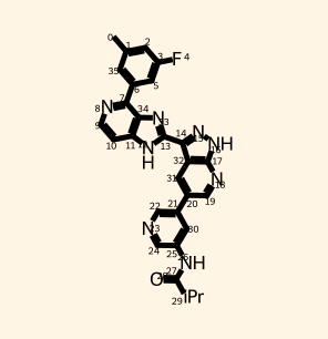 Cc1cc(F)cc(-c2nccc3[nH]c(-c4n[nH]c5ncc(-c6cncc(NC(=O)C(C)C)c6)cc45)nc23)c1